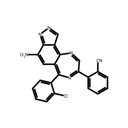 N#Cc1ccccc1-c1cnc2c(cc([N+](=O)[O-])c3nncc32)c(-c2ccccc2Cl)n1